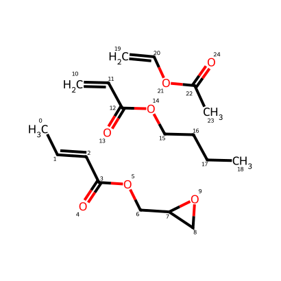 C/C=C/C(=O)OCC1CO1.C=CC(=O)OCCCC.C=COC(C)=O